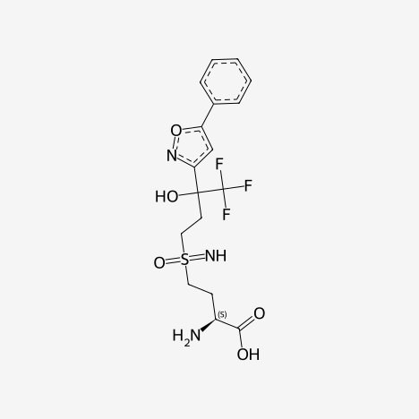 N=S(=O)(CC[C@H](N)C(=O)O)CCC(O)(c1cc(-c2ccccc2)on1)C(F)(F)F